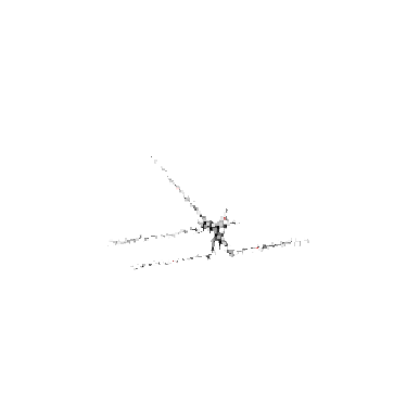 CCCCCCCCCCCCCCCCCCCCCC=COCN(COC=CCCCCCCCCCCCCCCCCCCCCC)c1nc(N(CCCC)CCCC)nc(N(COC=CC(C)CCCCCCCCCCCCCCCCCCC)COC=CC(C)CCCCCCCCCCCCCCCCCCC)n1